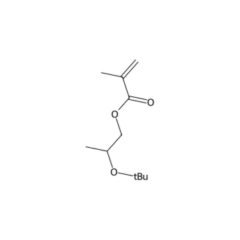 C=C(C)C(=O)OCC(C)OC(C)(C)C